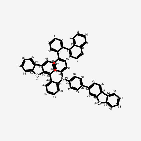 c1ccc(-c2cccc3ccccc23)c(-c2ccc(N(c3ccc(-c4ccc5c(c4)sc4ccccc45)cc3)c3ccccc3-c3cccc4c3oc3ccccc34)cc2)c1